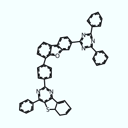 C1=CCC2Sc3c(nc(-c4ccc(-c5cccc6c5oc5cc(-c7nc(-c8ccccc8)nc(-c8ccccc8)n7)ccc56)cc4)nc3-c3ccccc3)C2=C1